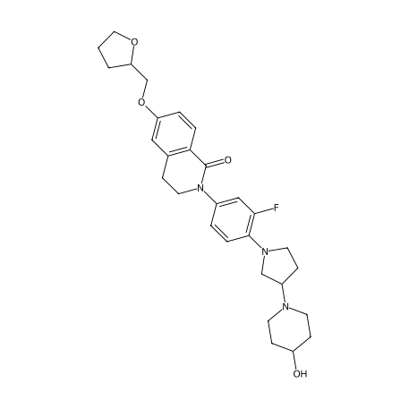 O=C1c2ccc(OCC3CCCO3)cc2CCN1c1ccc(N2CCC(N3CCC(O)CC3)C2)c(F)c1